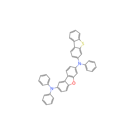 c1ccc(N(c2ccc3c(c2)oc2ccc(N(c4ccccc4)c4ccccc4)cc23)c2ccc3c(c2)sc2ccccc23)cc1